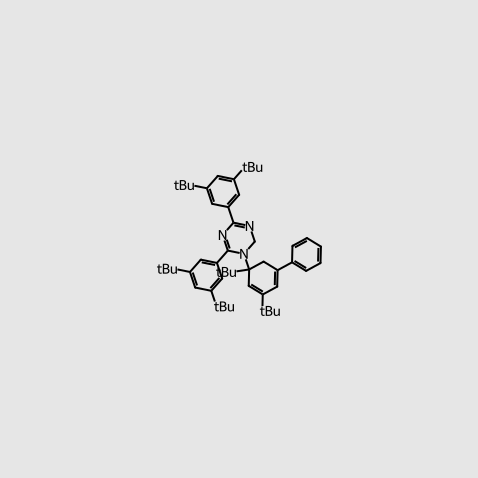 CC(C)(C)C1=CC(N2CN=C(c3cc(C(C)(C)C)cc(C(C)(C)C)c3)N=C2c2cc(C(C)(C)C)cc(C(C)(C)C)c2)(C(C)(C)C)CC(c2ccccc2)=C1